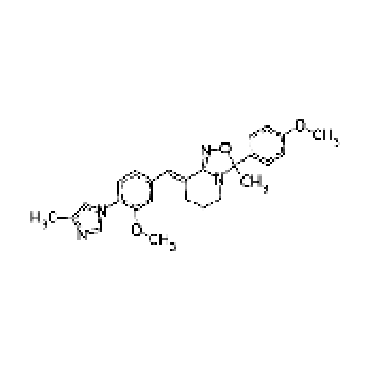 COc1ccc(C2(C)ON=C3/C(=C/c4ccc(-n5cnc(C)c5)c(OC)c4)CCCN32)cc1